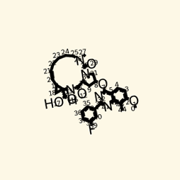 COc1ccc2c(OC3CC4C(=O)NC5(C(=O)O)CC5C=CCCCCN(C)C(=O)N4C3)nc(-c3cccc(F)c3)nc2c1C